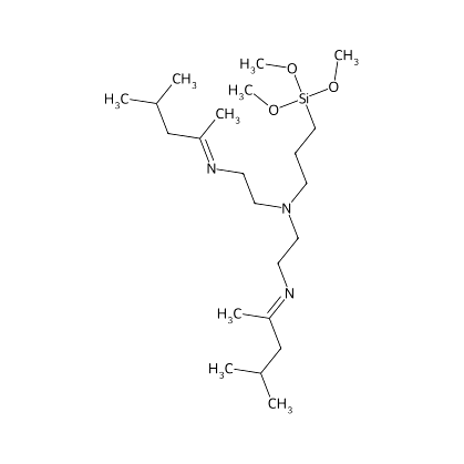 CO[Si](CCCN(CC/N=C(\C)CC(C)C)CC/N=C(\C)CC(C)C)(OC)OC